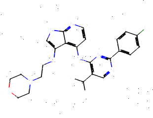 CC(C)c1cnc(-c2ccc(F)cc2)nc1Nc1ccnc2[nH]cc(NCCN3CCOCC3)c12